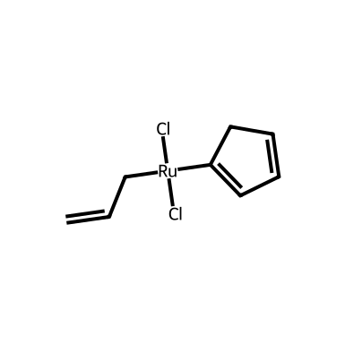 C=C[CH2][Ru]([Cl])([Cl])[C]1=CC=CC1